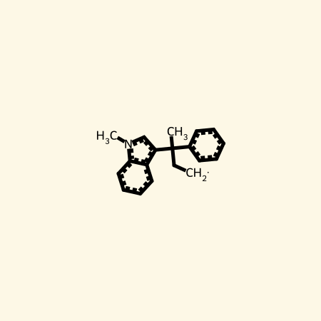 [CH2]CC(C)(c1ccccc1)c1cn(C)c2ccccc12